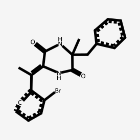 CC(=C1NC(=O)C(C)(Cc2ccccc2)NC1=O)c1ccccc1Br